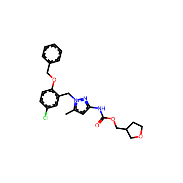 Cc1cc(NC(=O)OCC2CCOC2)nn1Cc1cc(Cl)ccc1OCc1ccccc1